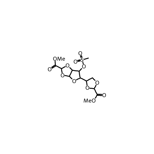 COC(=O)C1OCC(C2OC3OC(C(=O)OC)OC3C2OS(C)(=O)=O)O1